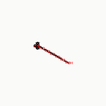 OCCOCCOCCOCCOCCOCCOCCOCCOCCOCCOCCOCCOC(c1ccccc1)(c1ccccc1)c1ccccc1